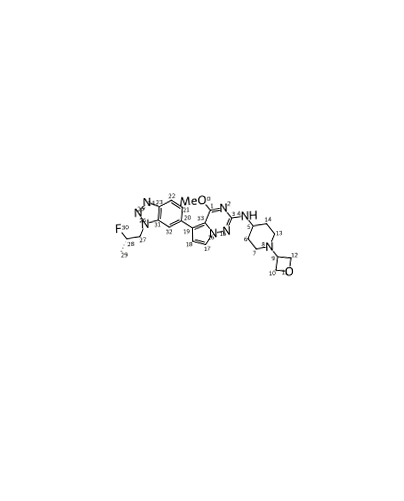 COc1nc(NC2CCN(C3COC3)CC2)nn2ccc(-c3ccc4nnn(C[C@H](C)F)c4c3)c12